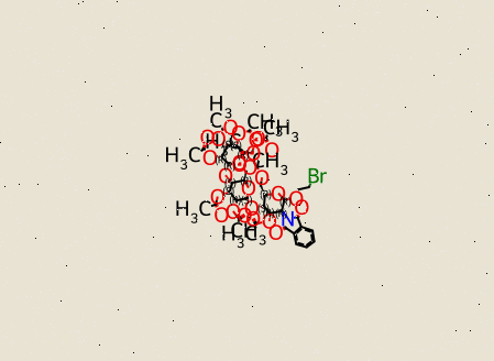 CC(=O)OC[C@H]1O[C@H](O[C@@H]2[C@H](OC(C)=O)[C@@H](OC(C)=O)[C@H](O[C@H]3[C@H](OC(C)=O)[C@@H](N4C(=O)c5ccccc5C4=O)[C@H](OCCBr)O[C@@H]3COC(C)=O)O[C@@H]2COC(C)=O)[C@H](OC(C)=O)[C@@H](OC(C)=O)[C@H]1OC(C)=O